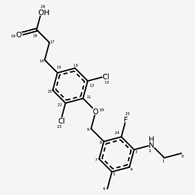 CCNc1cc(C)cc(COc2c(Cl)cc(CCC(=O)O)cc2Cl)c1F